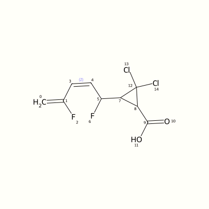 C=C(F)/C=C\C(F)C1C(C(=O)O)C1(Cl)Cl